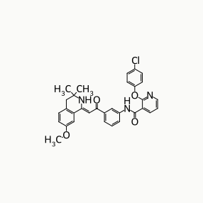 COc1ccc2c(c1)C(=CC(=O)c1cccc(NC(=O)c3cccnc3Oc3ccc(Cl)cc3)c1)NC(C)(C)C2